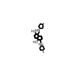 C[C@H]1CC[C@H](NCc2ccc3c(CN[C@H]4CC[C@H](C)CC4)c(O)ccc3c2O)CC1